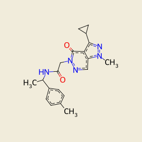 Cc1ccc(C(C)NC(=O)Cn2ncc3c(c(C4CC4)nn3C)c2=O)cc1